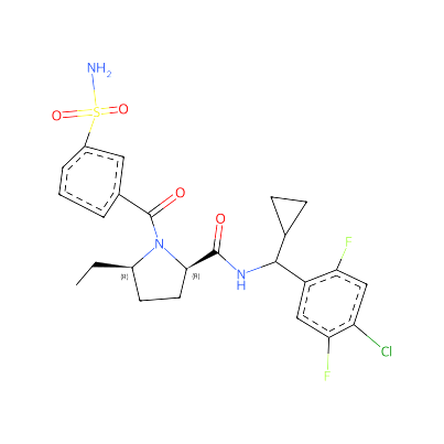 CC[C@@H]1CC[C@H](C(=O)NC(c2cc(F)c(Cl)cc2F)C2CC2)N1C(=O)c1cccc(S(N)(=O)=O)c1